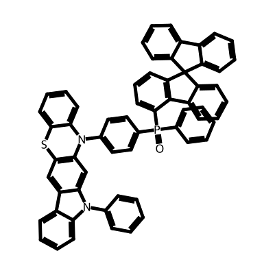 O=P(c1ccccc1)(c1ccc(N2c3ccccc3Sc3cc4c5ccccc5n(-c5ccccc5)c4cc32)cc1)c1cccc2c1-c1ccccc1C21c2ccccc2-c2ccccc21